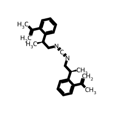 C=C(C)c1ccccc1[C@H](C)CN=C=NC[C@@H](C)c1ccccc1C(=C)C